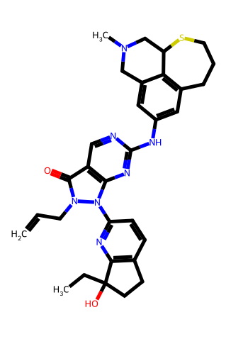 C=CCn1c(=O)c2cnc(Nc3cc4c5c(c3)CN(C)CC5SCCC4)nc2n1-c1ccc2c(n1)C(O)(CC)CC2